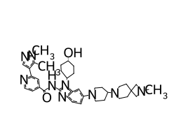 Cc1c(-c2cc(C(=O)Nc3nc4ccc(N5CCC(N6CCC7(CC6)CN(C)C7)CC5)cc4n3[C@H]3CC[C@@H](O)CC3)ccn2)cnn1C